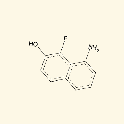 Nc1cccc2ccc(O)c(F)c12